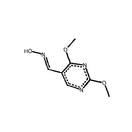 COc1ncc(/C=N/O)c(OC)n1